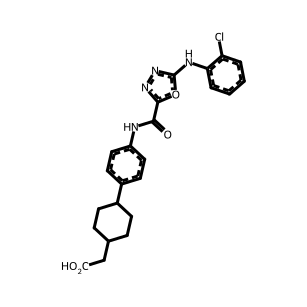 O=C(O)CC1CCC(c2ccc(NC(=O)c3nnc(Nc4ccccc4Cl)o3)cc2)CC1